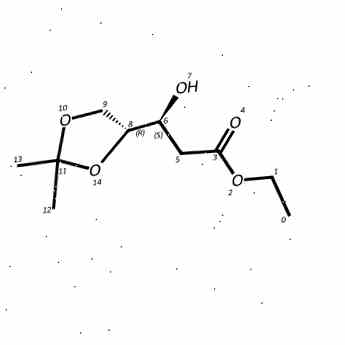 CCOC(=O)C[C@H](O)[C@H]1COC(C)(C)O1